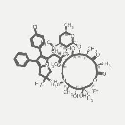 CC[C@H]1OC(=O)[C@H](C)C(=O)[C@H](C)[C@@H](O[C@@H]2O[C@H](C)C[C@H](N(C)C)[C@H]2OC(=O)Cc2c(-c3ccc(Cl)cc3)c(-c3ccccc3)c3n2CC(C)(C)C3)[C@](C)(O)C[C@@H](C)CN(C)[C@H](C)[C@@H](O)[C@]1(C)O